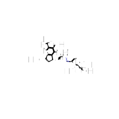 Cc1c(C(F)(F)F)nc2c(c1NC(=O)/N=C/c1cnc(C(C)(C)O)s1)CC[C@@H]2C